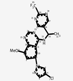 COc1cc(-n2cc(Cl)cn2)cc2c(NC(C)c3cnc(C(F)(F)F)nc3)ncnc12